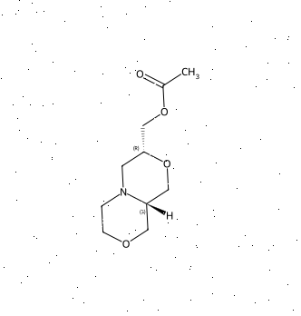 CC(=O)OC[C@H]1CN2CCOC[C@H]2CO1